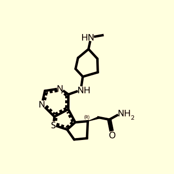 CNC1CCC(Nc2ncnc3sc4c(c23)[C@@H](CC(N)=O)CC4)CC1